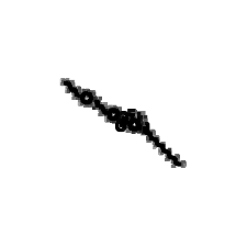 CCCCCCCCCCCCOc1ccc(C(=O)Oc2ccc(CCC=C[C@H]3CC[C@H](CCCCC)CC3)cc2)c(F)c1F